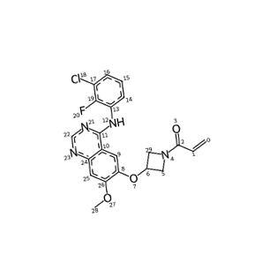 C=CC(=O)N1CC(Oc2cc3c(Nc4cccc(Cl)c4F)ncnc3cc2OC)C1